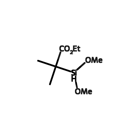 CCOC(=O)C(C)(C)[SiH](OC)OC